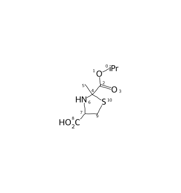 CC(C)OC(=O)C1(C)NC(C(=O)O)CS1